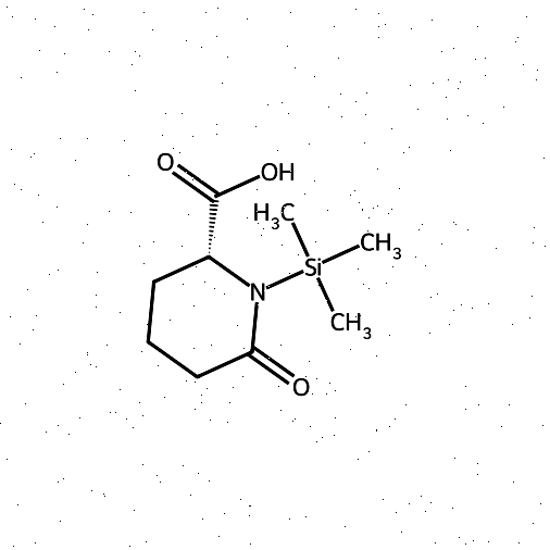 C[Si](C)(C)N1C(=O)CCC[C@@H]1C(=O)O